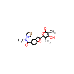 Cc1c(-c2cc3cc(C(=O)N(C)N4C=CSC4)ccc3o2)oc(=O)c(C)c1O